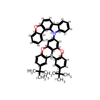 CC(C)(C)c1ccc2c(c1)B1c3cc(C(C)(C)C)ccc3Oc3cc(-n4c5ccccc5c5ccc6oc7ccccc7c6c54)cc(c31)O2